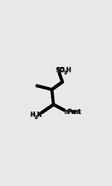 CCCCCC(N)C(C)CS(=O)(=O)O